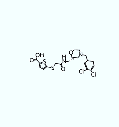 O=C(CSc1ccc(C(=O)O)s1)NC[C@H]1CN(CC2C=C(Cl)C(Cl)=CC2)CCO1